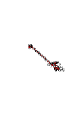 CCC1=CC(C)(C)N(CC)c2cc3c(cc21)C(c1nccn1CCCCCC(=O)NCCOCCOCCOCCOCCOCCOCCOCCOCCOCCOCCOCCOC(=O)ON1C(=O)CCC1=O)=c1cc2c(cc1O3)=[N+](CC)C(C)(C)C=C2CS(=O)(=O)[O-]